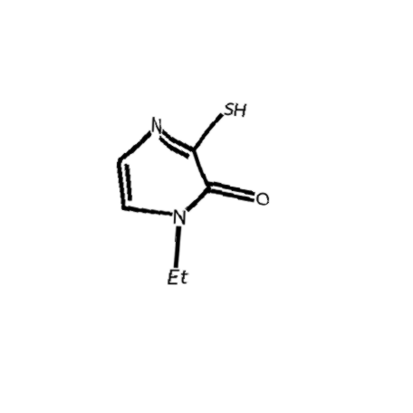 CCn1ccnc(S)c1=O